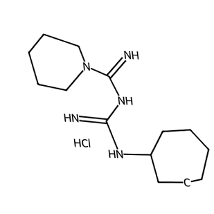 Cl.N=C(NC(=N)N1CCCCC1)NC1CCCCCC1